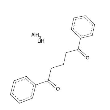 O=C(CCCC(=O)c1ccccc1)c1ccccc1.[AlH3].[LiH]